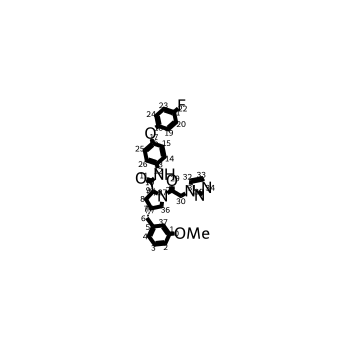 COc1cccc(C[C@@H]2C[C@@H](C(=O)Nc3ccc(Oc4ccc(F)cc4)cc3)N(C(=O)Cn3ccnn3)C2)c1